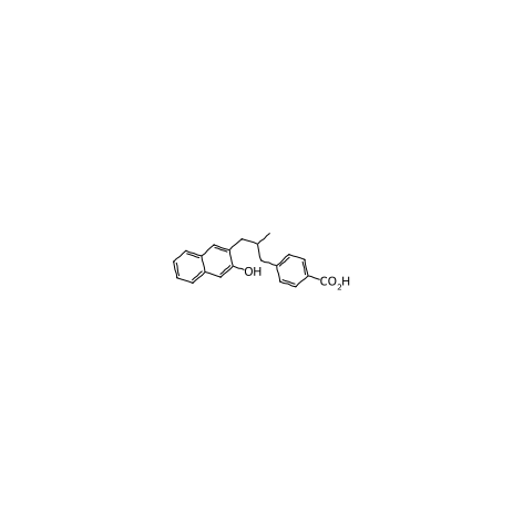 CC(Cc1ccc(C(=O)O)cc1)Cc1cc2ccccc2cc1O